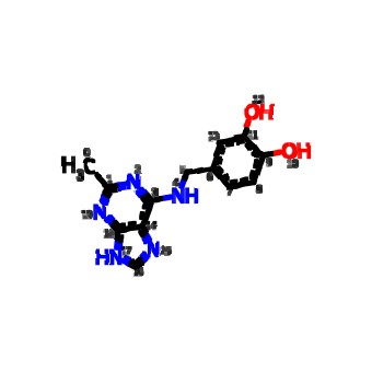 Cc1nc(NCc2ccc(O)c(O)c2)c2nc[nH]c2n1